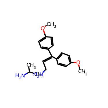 CC(C)N.COc1ccc(C(=CCN)c2ccc(OC)cc2)cc1